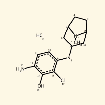 CN1C2CCC1CC(Sc1ccc(N)c(O)c1Cl)C2.Cl